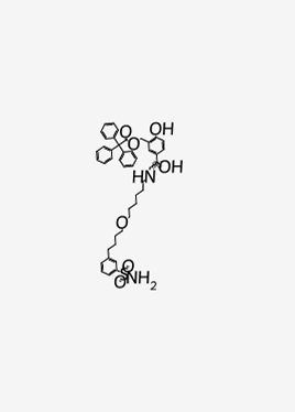 NS(=O)(=O)c1cccc(CCCCOCCCCCCNC[C@H](O)c2ccc(O)c(COC(=O)C(c3ccccc3)(c3ccccc3)c3ccccc3)c2)c1